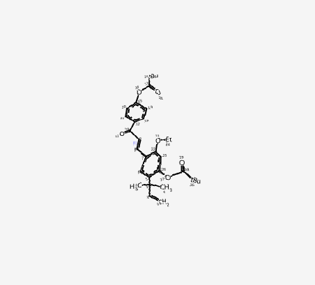 C=CC(C)(C)c1cc(/C=C/C(=O)c2ccc(OC(=O)C(C)(C)C)cc2)c(OCC)cc1OC(=O)C(C)(C)C